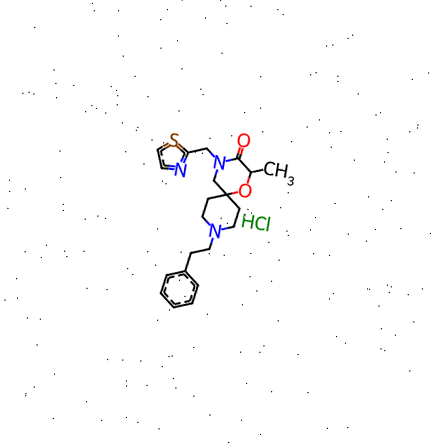 CC1OC2(CCN(CCc3ccccc3)CC2)CN(Cc2nccs2)C1=O.Cl